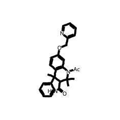 CC(=O)N1c2cc(OCc3ccccn3)[c]cc2C(C)(c2ccccc2)C(C(N)=O)C1(C)C